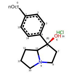 CCCCCCCCc1ccc([C@]2(O)CCN3CCCC32)cc1.Cl